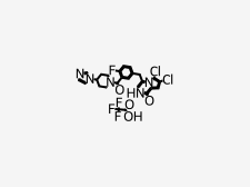 O=C(O)C(F)(F)F.O=C(c1cc(Cc2c[nH]c(=O)c3cc(Cl)c(Cl)n23)ccc1F)N1CCC(n2ccnc2)CC1